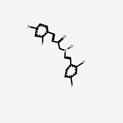 O=C(/C=C/c1ccc(F)cc1F)C[S+]([O-])C=Cc1ccc(F)cc1F